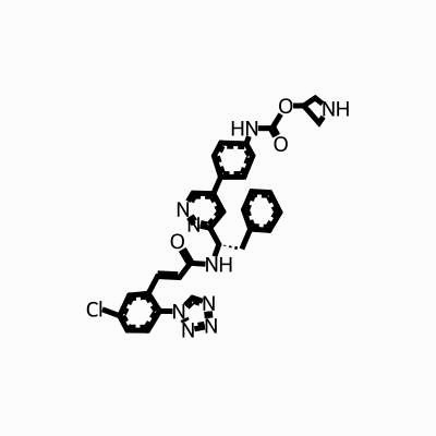 O=C(C=Cc1cc(Cl)ccc1-n1cnnn1)N[C@@H](Cc1ccccc1)c1cc(-c2ccc(NC(=O)OC3CNC3)cc2)cnn1